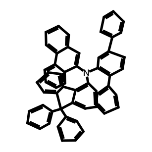 c1ccc(-c2ccc(-c3ccccc3)c(N(c3cccc4c3-c3ccccc3C4(c3ccccc3)c3ccccc3)c3cc4ccccc4c4ccccc34)c2)cc1